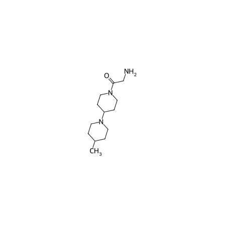 CC1CCN(C2CCN(C(=O)CN)CC2)CC1